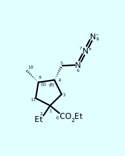 CCOC(=O)C1(CC)C[C@@H](CN=[N+]=[N-])[C@@H](C)C1